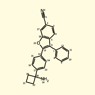 N#Cc1ccc2c(-c3ccccc3)c(-c3ccc(C4(N)CCC4)cc3)oc2c1